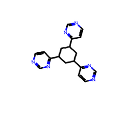 c1cc(C2CC(c3ccncn3)CC(c3ccncn3)C2)ncn1